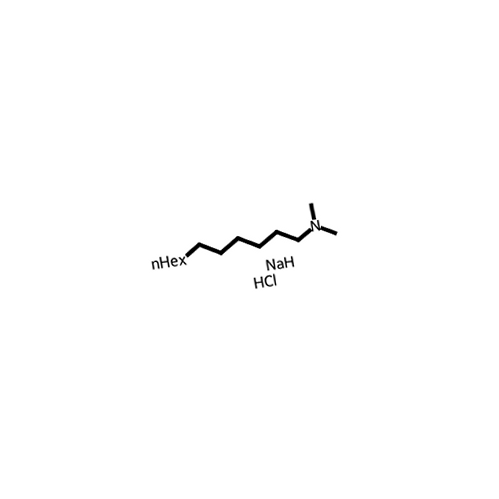 CCCCCCCCCCCCN(C)C.Cl.[NaH]